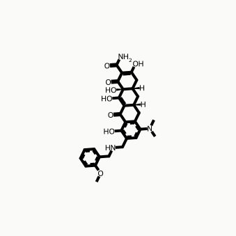 COc1ccccc1CNCc1cc(N(C)C)c2c(c1O)C(=O)C1=C(O)[C@]3(O)C(=O)C(C(N)=O)=C(O)C[C@@H]3C[C@@H]1C2